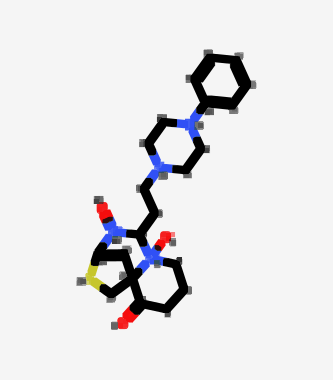 O=C1CCC[N+]2([O-])C(CCN3CCN(c4ccccc4)CC3)[N+](=O)C3=CC12CS3